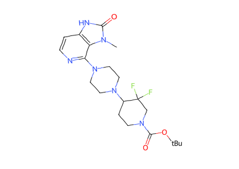 Cn1c(=O)[nH]c2ccnc(N3CCN(C4CCN(C(=O)OC(C)(C)C)CC4(F)F)CC3)c21